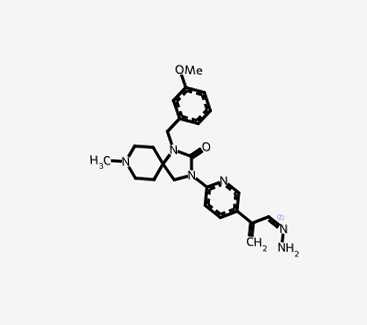 C=C(/C=N\N)c1ccc(N2CC3(CCN(C)CC3)N(Cc3cccc(OC)c3)C2=O)nc1